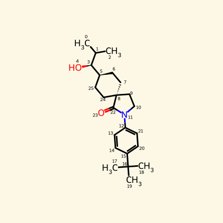 CC(C)[C@H](O)[C@H]1CC[C@@]2(CCN(c3ccc(C(C)(C)C)cc3)C2=O)CC1